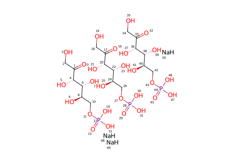 O=C(CO)[C@@H](O)[C@H](O)[C@H](O)COP(=O)(O)O.O=C(CO)[C@@H](O)[C@H](O)[C@H](O)COP(=O)(O)O.O=C(CO)[C@@H](O)[C@H](O)[C@H](O)COP(=O)(O)O.[NaH].[NaH].[NaH]